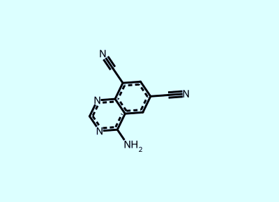 N#Cc1cc(C#N)c2ncnc(N)c2c1